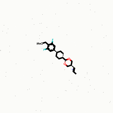 C/C=C/[C@H]1CO[C@H]([C@H]2CC[C@H](c3cc(F)c(COC)c(F)c3)CC2)OC1